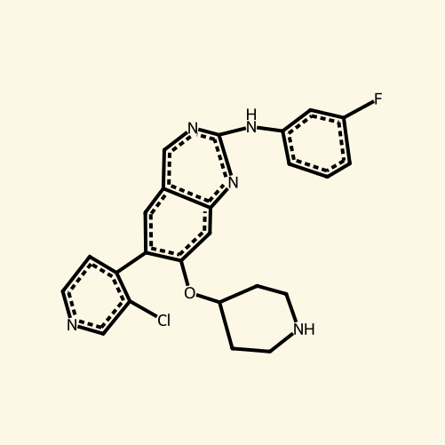 Fc1cccc(Nc2ncc3cc(-c4ccncc4Cl)c(OC4CCNCC4)cc3n2)c1